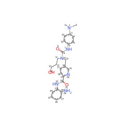 CN(C)c1ccc(NC(=O)N(CCCO)Cc2ccc(C(=O)Nc3ccccc3N)nc2)cc1